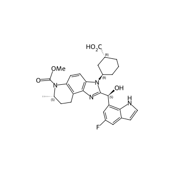 COC(=O)N1c2ccc3c(nc([C@@H](O)c4cc(F)cc5cc[nH]c45)n3[C@@H]3CCC[C@@H](C(=O)O)C3)c2CC[C@@H]1C